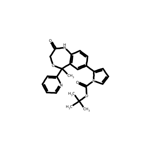 CC(C)(C)OC(=O)n1cccc1-c1ccc2c(c1)C(C)(c1ccccn1)OCC(=O)N2